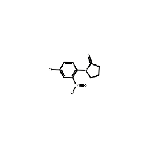 O=C1CCCN1c1ccc(Cl)cc1[N+](=O)[O-]